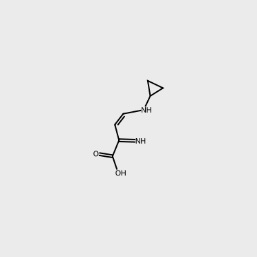 N=C(/C=C\NC1CC1)C(=O)O